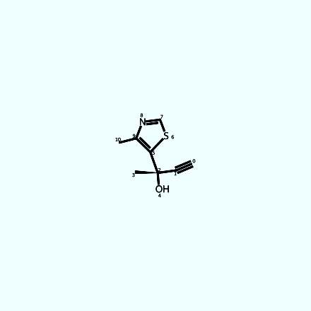 C#C[C@](C)(O)c1scnc1C